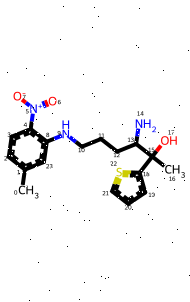 Cc1ccc([N+](=O)[O-])c(NCCCC(N)C(C)(O)c2cccs2)c1